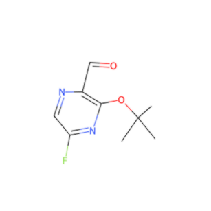 CC(C)(C)Oc1nc(F)cnc1C=O